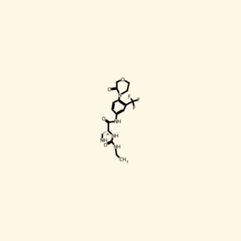 CCNC(=O)N[C@H](CN)C(=O)Nc1ccc(N2CCOCC2=O)c(C(F)(F)F)c1